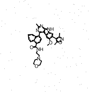 COc1cc2c(cc1-c1c(C)noc1C)[nH]c1nc(C)nc(-c3ccc(C(=O)NCCN4CCOCC4)c4ccccc34)c12